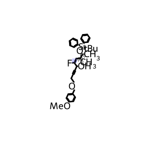 COc1ccc(COCCC#CC(O)/C(F)=C\[C@@H](C)[C@@H](C)O[Si](c2ccccc2)(c2ccccc2)C(C)(C)C)cc1